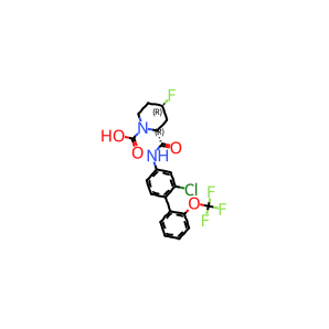 O=C(Nc1ccc(-c2ccccc2OC(F)(F)F)c(Cl)c1)[C@H]1C[C@H](F)CCN1C(=O)O